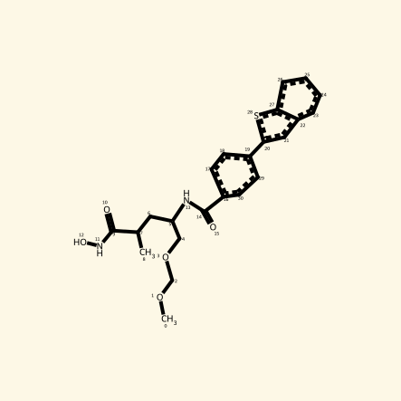 COCOCC(CC(C)C(=O)NO)NC(=O)c1ccc(-c2cc3ccccc3s2)cc1